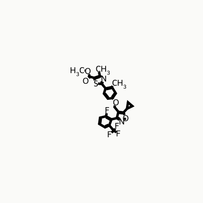 COC(=O)c1sc(-c2ccc(OCc3c(-c4c(F)cccc4C(F)(F)F)noc3C3CC3)cc2C)nc1C